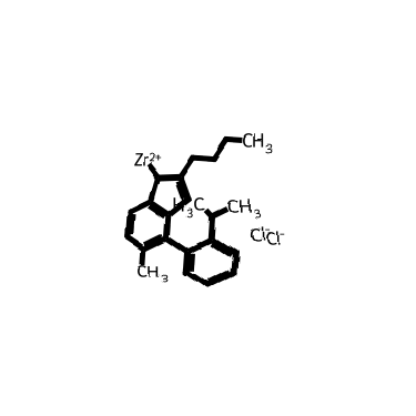 CCCCC1=Cc2c(ccc(C)c2-c2ccccc2C(C)C)[CH]1[Zr+2].[Cl-].[Cl-]